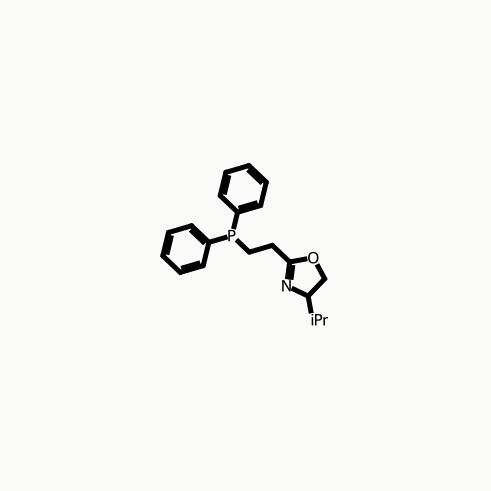 CC(C)C1COC(CCP(c2ccccc2)c2ccccc2)=N1